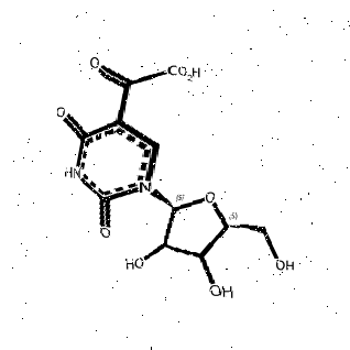 O=C(O)C(=O)c1cn([C@H]2O[C@@H](CO)C(O)C2O)c(=O)[nH]c1=O